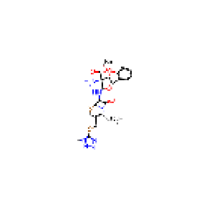 Cn1nnnc1SCC1=C(C(=O)O)N2C(=O)C(NC(=O)C(N)(C(=O)OC(C)(C)C)C3Cc4ccccc4O3)C2SC1